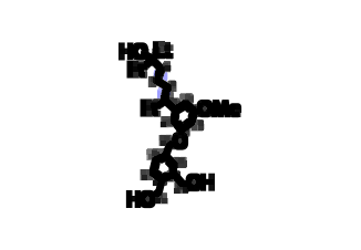 CC/C(=C\C=C\C(O)(CC)CC)c1cc(OC)cc(OCc2ccc(CO)c(CO)c2)c1